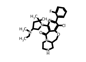 CCN(C)C1CN(c2nc(-c3ccccc3F)c(Cl)c3c2C(=O)N2CCNCC2CO3)C(C)(C)C1